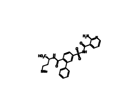 CSCC[C@H](NC(=O)c1ccc(S(=O)(=O)NC(=O)c2cccnc2N)cc1-c1ccccc1)C(=O)O